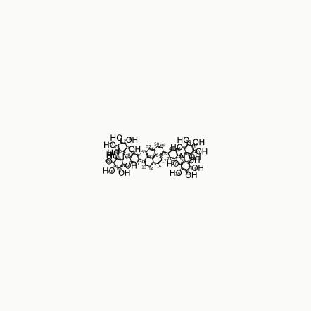 Oc1c(O)c(O)c(N(c2ccc(-c3ccc4ccc5c(-c6ccc(N(c7c(O)c(O)c(O)c(O)c7O)c7c(O)c(O)c(O)c(O)c7O)cc6)ccc6ccc3c4c65)cc2)c2c(O)c(O)c(O)c(O)c2O)c(O)c1O